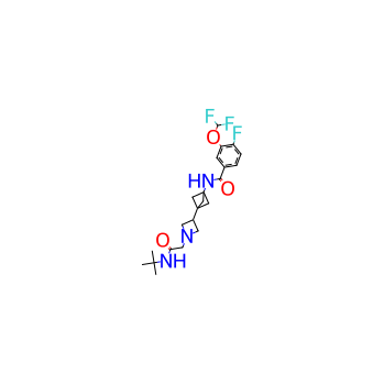 CC(C)(C)NC(=O)CN1CC(C23CC(NC(=O)c4ccc(F)c(OC(F)F)c4)(C2)C3)C1